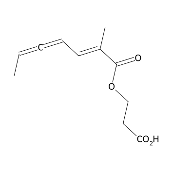 CC=C=CC=C(C)C(=O)OCCC(=O)O